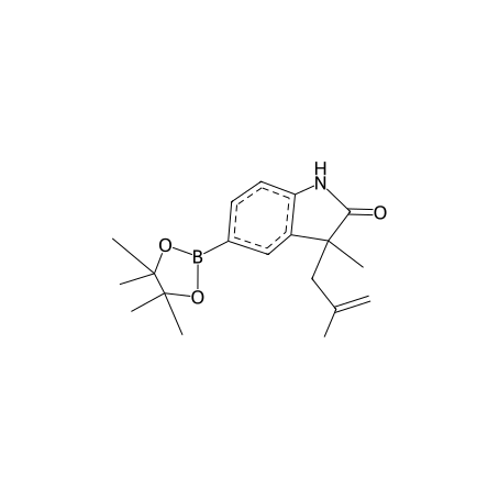 C=C(C)CC1(C)C(=O)Nc2ccc(B3OC(C)(C)C(C)(C)O3)cc21